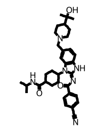 CC(C)NC(=O)C1CCC(n2/c(=N\C(=O)c3ccc(C#N)cc3)[nH]c3ccc(CN4CCC(C(C)(C)O)CC4)cc32)CC1